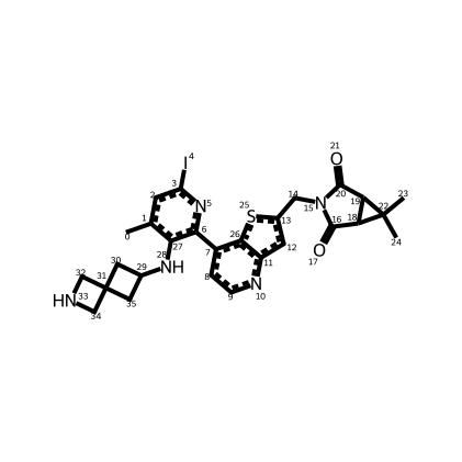 Cc1cc(I)nc(-c2ccnc3cc(CN4C(=O)C5C(C4=O)C5(C)C)sc23)c1NC1CC2(CNC2)C1